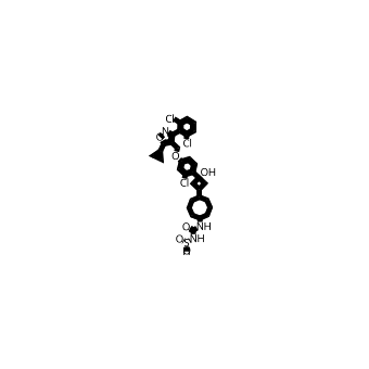 O=C(NC1CCCC(C2CC(O)(c3ccc(OCc4c(-c5c(Cl)cccc5Cl)noc4C4CC4)cc3Cl)C2)CCC1)N[SH](=O)=O